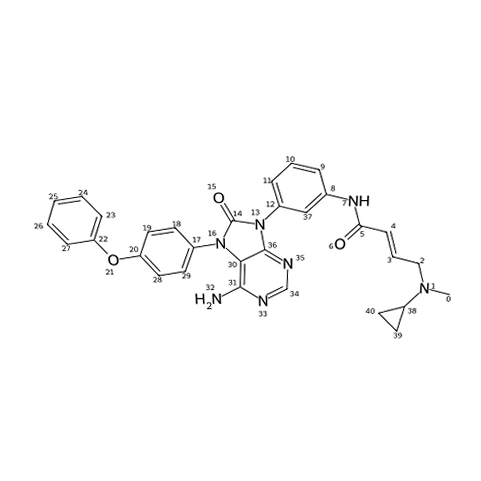 CN(CC=CC(=O)Nc1cccc(-n2c(=O)n(-c3ccc(Oc4ccccc4)cc3)c3c(N)ncnc32)c1)C1CC1